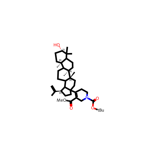 C=C(C)[C@@H]1CCC2(C3=C(C(=O)OC)CN(C(=O)OC(C)(C)C)CC3)CC[C@]3(C)C(CCC4[C@@]5(C)CC[C@H](O)C(C)(C)C5CC[C@]43C)C12